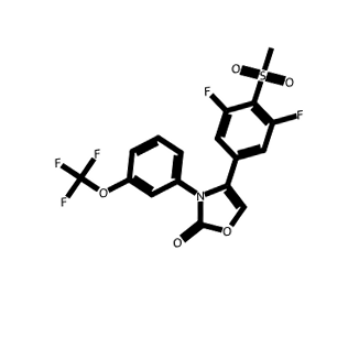 CS(=O)(=O)c1c(F)cc(-c2coc(=O)n2-c2cccc(OC(F)(F)F)c2)cc1F